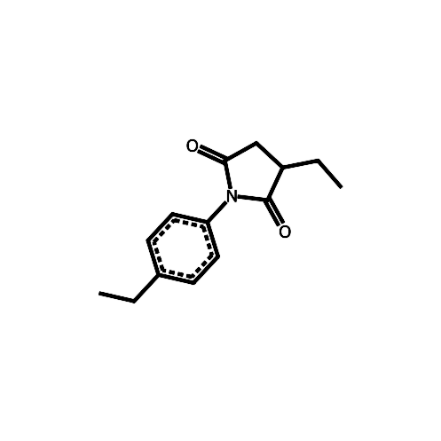 CCc1ccc(N2C(=O)CC(CC)C2=O)cc1